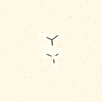 CC(O)C(=O)O.[Cl][V]([Cl])[Cl]